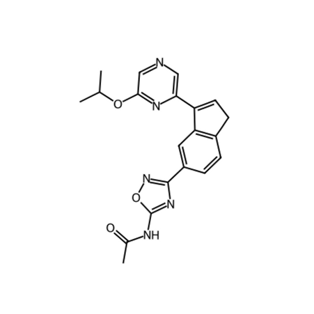 CC(=O)Nc1nc(-c2ccc3c(c2)C(c2cncc(OC(C)C)n2)=CC3)no1